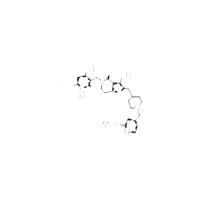 COc1cc(CN2CCC(Cc3sc4c(c3C)C(=O)N(Cc3c(C)cc(C)[nH]c3=O)CC4)CC2)ccn1